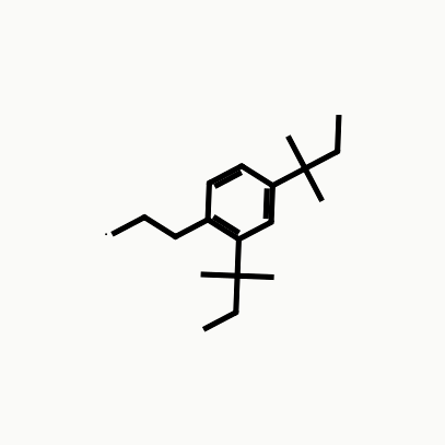 [CH2]CCc1ccc(C(C)(C)CC)cc1C(C)(C)CC